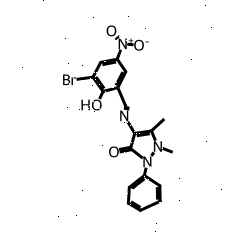 Cc1c(/N=C/c2cc([N+](=O)[O-])cc(Br)c2O)c(=O)n(-c2ccccc2)n1C